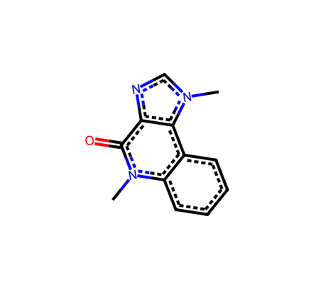 Cn1cnc2c(=O)n(C)c3ccccc3c21